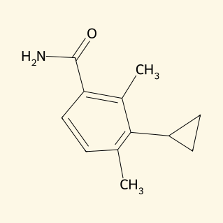 Cc1ccc(C(N)=O)c(C)c1C1CC1